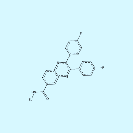 CCNC(=O)c1ccc2nc(-c3ccc(F)cc3)c(-c3ccc(F)cc3)nc2c1